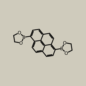 c1cc2ccc3c(B4OCCO4)ccc4ccc(c1B1OCCO1)c2c43